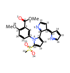 COC(=O)c1cc(-n2c(C3=NC=CC3=C3C=CC=N3)ccc2S(C)(=O)=O)ccc1OC